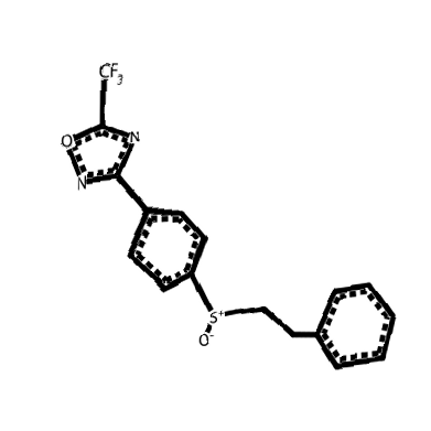 [O-][S+](CCc1ccccc1)c1ccc(-c2noc(C(F)(F)F)n2)cc1